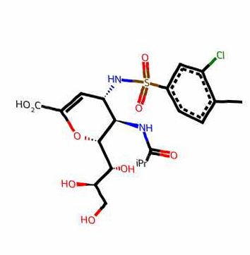 Cc1ccc(S(=O)(=O)N[C@H]2C=C(C(=O)O)O[C@@H]([C@H](O)[C@H](O)CO)[C@@H]2NC(=O)C(C)C)cc1Cl